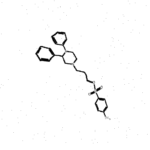 Cc1ccc(S(=O)(=O)OCCCN2CCN(c3ccccc3)C(c3ccccc3)C2)cc1